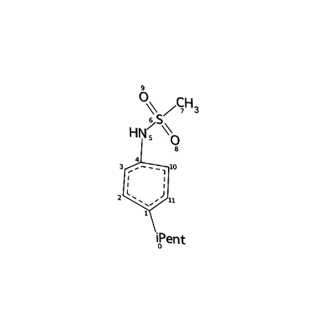 CCCC(C)c1ccc(NS(C)(=O)=O)cc1